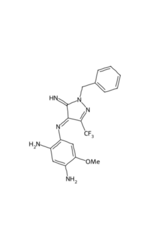 COc1cc(N=C2C(=N)N(Cc3ccccc3)N=C2C(F)(F)F)c(N)cc1N